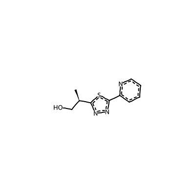 C[C@H](CO)c1nnc(-c2ccccn2)s1